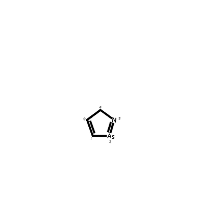 C1=C[As]=NC1